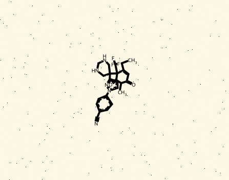 CCC1=CC(=O)C(C)C(=O)C1(C(F)(F)F)C1(c2ccn(-c3ccc(C#N)cc3)n2)CNCNC1